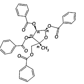 C[C@]1(COC(=O)c2ccccc2)O[C@H](OC(=O)c2ccccc2)[C@H](OC(=O)c2ccccc2)[C@@H]1OC(=O)c1ccccc1